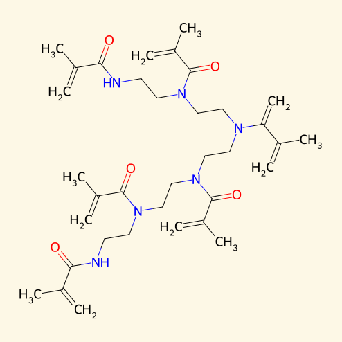 C=C(C)C(=C)N(CCN(CCNC(=O)C(=C)C)C(=O)C(=C)C)CCN(CCN(CCNC(=O)C(=C)C)C(=O)C(=C)C)C(=O)C(=C)C